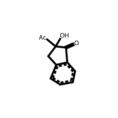 CC(=O)C1(O)Cc2ccccc2C1=O